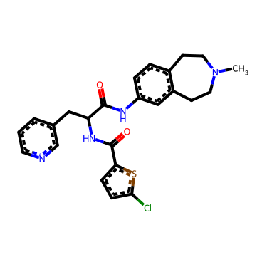 CN1CCc2ccc(NC(=O)C(Cc3cccnc3)NC(=O)c3ccc(Cl)s3)cc2CC1